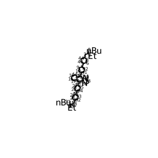 CCCCC(CC)Cc1ccc(-c2ccc(-c3c4ccccc4c(-c4ccc(-c5ccc(CC(CC)CCCC)cc5)cc4)c4nsnc34)cc2)cc1